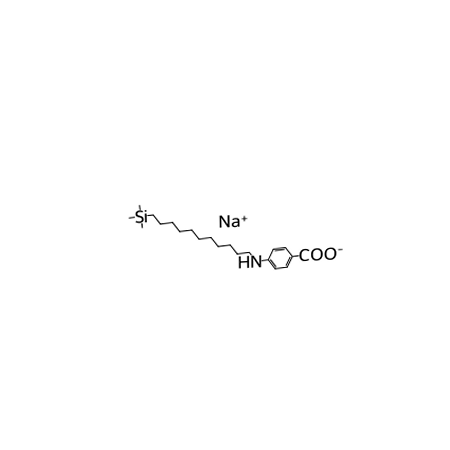 C[Si](C)(C)CCCCCCCCCCCNc1ccc(C(=O)[O-])cc1.[Na+]